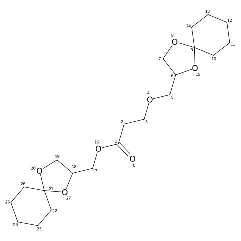 O=C(CCOCC1COC2(CCCCC2)O1)OCC1COC2(CCCCC2)O1